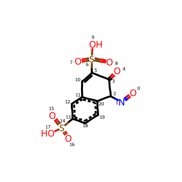 O=NC1C(=O)C(S(=O)(=O)O)=Cc2cc(S(=O)(=O)O)ccc21